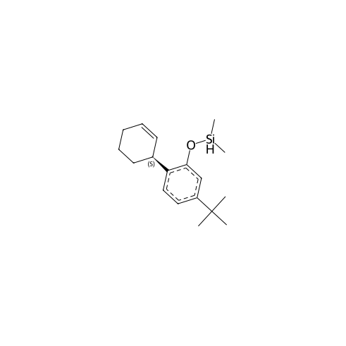 C[SiH](C)Oc1cc(C(C)(C)C)ccc1[C@@H]1C=CCCC1